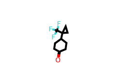 O=C1CCC(C2(C(F)(F)F)CC2)CC1